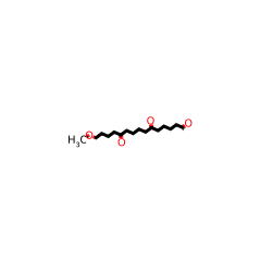 COCCCCC(=O)CCCCC(=O)CCCC[C]=O